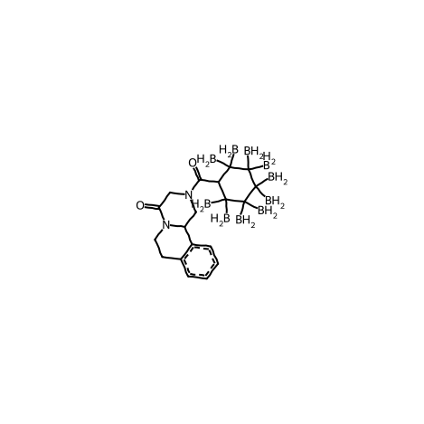 BC1(B)C(C(=O)N2CC(=O)N3CCc4ccccc4C3C2)C(B)(B)C(B)(B)C(B)(B)C1(B)B